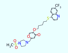 CS(=O)(=O)N1CCN(Cc2cc(=O)c(OCCCCCSc3ccnc4cc(C(F)(F)F)ccc34)co2)CC1